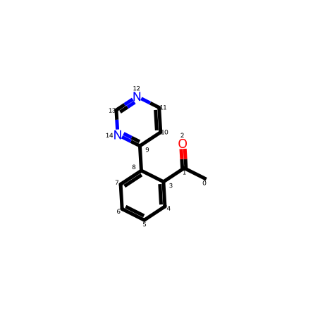 CC(=O)c1ccccc1-c1ccncn1